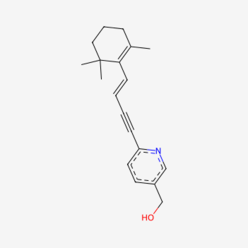 CC1=C(C=CC#Cc2ccc(CO)cn2)C(C)(C)CCC1